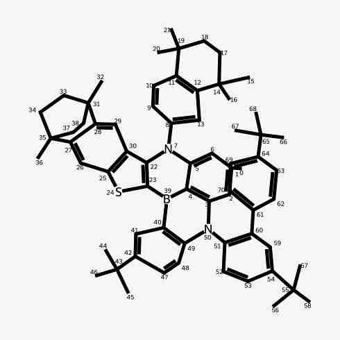 Cc1cc2c3c(c1)N(c1ccc4c(c1)C(C)(C)CCC4(C)C)c1c(sc4cc5c(cc14)C1(C)CCC5(C)CC1)B3c1cc(C(C)(C)C)ccc1N2c1ccc(C(C)(C)C)cc1-c1ccc(C(C)(C)C)cc1